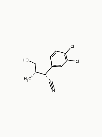 C[C@H](CO)[C@@H](C#N)c1ccc(Cl)c(Cl)c1